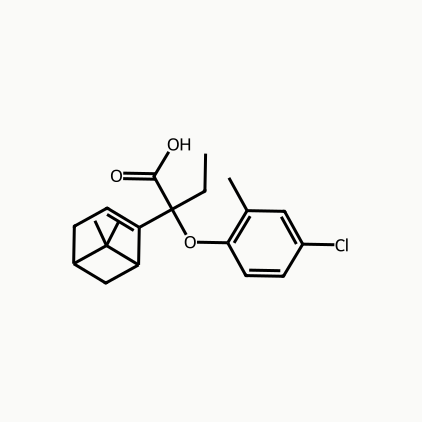 CCC(Oc1ccc(Cl)cc1C)(C(=O)O)C1=CCC2CC1C2(C)C